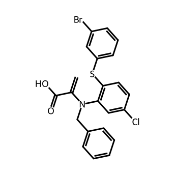 C=C(C(=O)O)N(Cc1ccccc1)c1cc(Cl)ccc1Sc1cccc(Br)c1